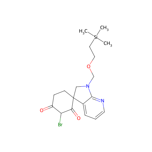 C[Si](C)(C)CCOCN1CC2(CCC(=O)C(Br)C2=O)c2cccnc21